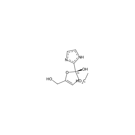 CC(=O)O.OCC1=CC[C@@](O)(c2ncc[nH]2)O1